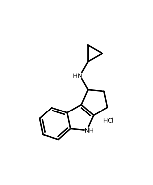 Cl.c1ccc2c3c([nH]c2c1)CCC3NC1CC1